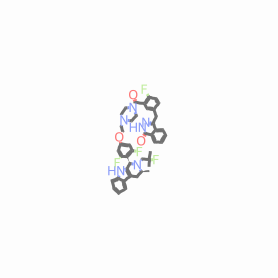 C[C@H]1Cc2c([nH]c3ccccc23)[C@H](c2c(F)cc(OCCN3CCN(C(=O)c4cc(Cc5n[nH]c(=O)c6ccccc56)ccc4F)CC3)cc2F)N1CC(C)(C)F